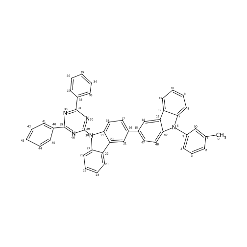 Cc1cccc(-n2c3ccccc3c3cc(-c4ccc5c(c4)c4ccccc4n5-c4nc(-c5ccccc5)nc(-c5ccccc5)n4)ccc32)c1